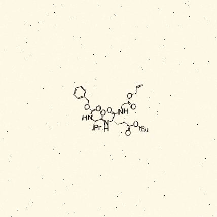 C=CCOC(=O)CNC(=O)[C@H](CCC(=O)OC(C)(C)C)NC(=O)[C@@H](NC(=O)OCc1ccccc1)C(C)C